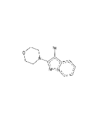 [2H]c1c(N2CCOCC2)nn2ccccc12